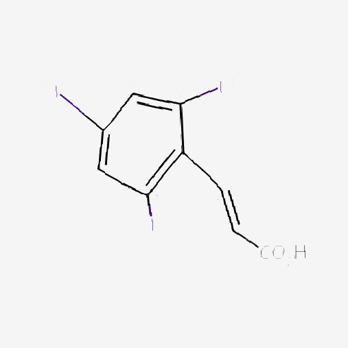 O=C(O)C=Cc1c(I)cc(I)cc1I